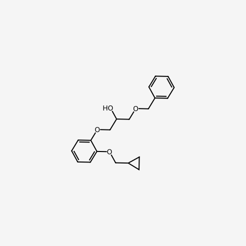 OC(COCc1ccccc1)COc1ccccc1OCC1CC1